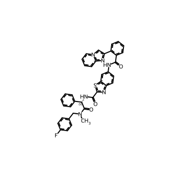 CN(Cc1ccc(F)cc1)C(=O)[C@@H](NC(=O)c1nc2ccc(NC(=O)c3ccccc3-c3cn4ccccc4n3)cc2s1)c1ccccc1